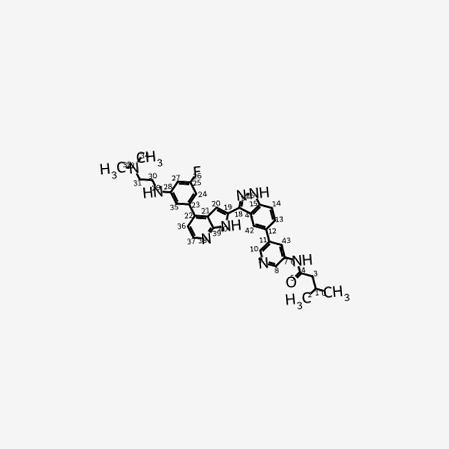 CC(C)CC(=O)Nc1cncc(-c2ccc3[nH]nc(-c4cc5c(-c6cc(F)cc(NCCN(C)C)c6)ccnc5[nH]4)c3c2)c1